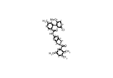 COc1cnc(Cl)cc1-c1cc(C)ncc1C(=O)Nc1nc2c(s1)CN(C(=O)c1nc(C)cc(C(F)(F)F)c1C)C2